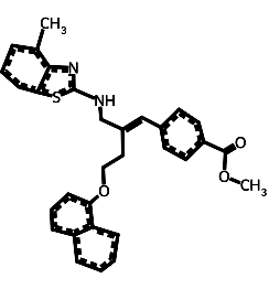 COC(=O)c1ccc(/C=C(\CCOc2cccc3ccccc23)CNc2nc3c(C)cccc3s2)cc1